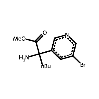 CCCCC(N)(C(=O)OC)c1cncc(Br)c1